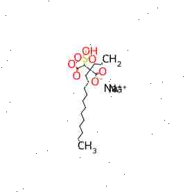 C=CCC(CCCCCCCCCCCC)(C(=O)[O-])C(C(=O)[O-])S(=O)(=O)O.[Na+].[Na+]